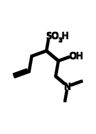 C=CCC(C(O)CN(C)C)S(=O)(=O)O